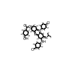 CC(C)N=c1cc2n(-c3ccc(Cl)cc3)c3ccccc3nc-2cc1Nc1ccc(Cl)cc1.O=C(O)c1ccc(O)cc1